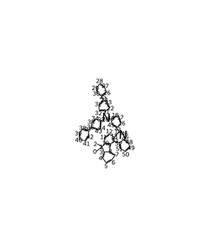 CC1(C)c2ccccc2-c2c1ccc1c(-c3cccc(N(c4ccc(-c5ccccc5)cc4)c4ccc(-c5ccccc5)cc4)c3)nc3ccccc3c21